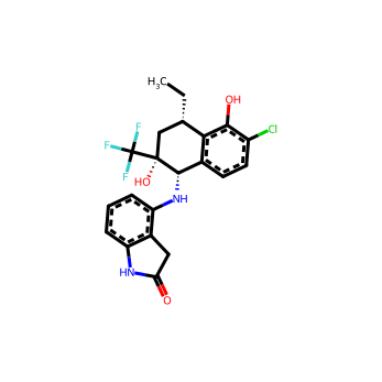 CC[C@H]1C[C@](O)(C(F)(F)F)[C@@H](Nc2cccc3c2CC(=O)N3)c2ccc(Cl)c(O)c21